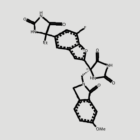 CCC1(c2cc(F)c3oc([C@]4(CN5Cc6ccc(OC)cc6C5=O)NC(=O)NC4=O)cc3c2)NC(=O)NC1=O